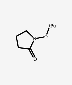 CC(C)(C)ON1CCCC1=O